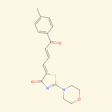 Cc1ccc(C(=O)C=CC=C2SC(N3CCOCC3)=NC2=O)cc1